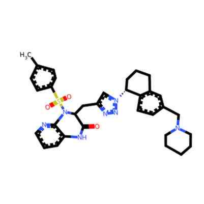 Cc1ccc(S(=O)(=O)N2c3ncccc3NC(=O)C2Cc2cn([C@@H]3CCCc4cc(CN5CCCCC5)ccc43)nn2)cc1